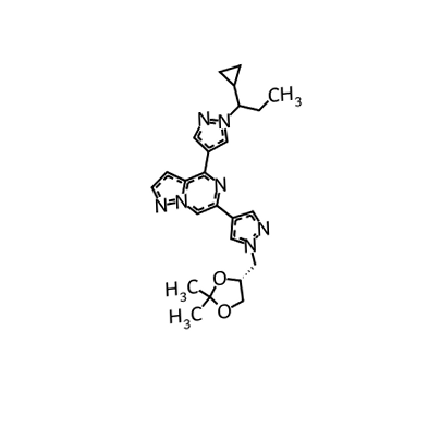 CCC(C1CC1)n1cc(-c2nc(-c3cnn(C[C@@H]4COC(C)(C)O4)c3)cn3nccc23)cn1